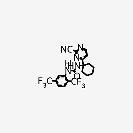 N#Cc1nccc(C2(NC(=O)Nc3cc(C(F)(F)F)ccc3C(F)(F)F)CCCCC2)n1